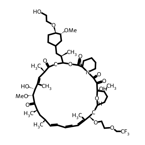 CO[C@@H]1CC(C[C@@H](C)C2CC(=O)[C@H](C)/C=C(\C)[C@@H](O)[C@@H](OC)C(=O)[C@H](C)C[C@H](C)/C=C/C=C/C=C(\C)[C@H](OCCOCC(F)(F)F)C[C@@H]3CC[C@@H](C)[C@@](O)(O3)C(=O)C(=O)N3CCCC[C@H]3C(=O)O2)CC[C@H]1OCCO